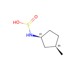 C[C@@H]1CC[C@H](NS(=O)O)C1